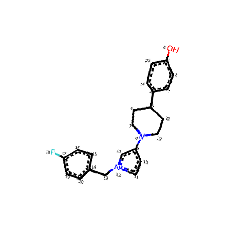 Oc1ccc(C2CCN(c3ccn(Cc4ccc(F)cc4)c3)CC2)cc1